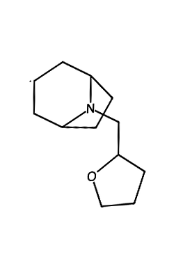 [CH]1CC2CCC(C1)N2CC1CCCO1